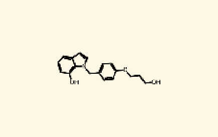 OCCCOc1ccc(Cn2ccc3cccc(O)c32)cc1